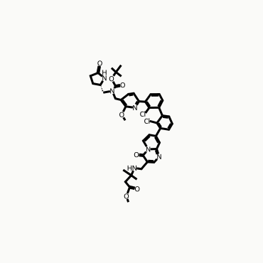 COC(=O)CC(C)(C)NCc1cnc2cc(-c3cccc(-c4cccc(-c5ccc(CN(C[C@@H]6CCC(=O)N6)C(=O)OC(C)(C)C)c(OC)n5)c4Cl)c3Cl)ccn2c1=O